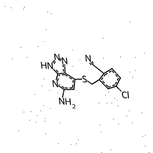 N#Cc1ccc(Cl)cc1CSc1cc(N)nc2[nH]nnc12